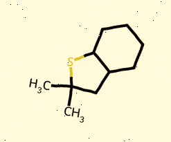 CC1(C)CC2CCCCC2S1